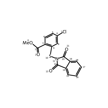 COC(=O)c1ccc(Cl)cc1SN1C(=O)c2ccccc2C1=O